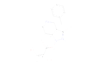 CN1C(=O)[C@]2(Cc3ccccc3)CNCCC2N1OC(=O)[C@H](O)[C@@H](O)C(=O)O